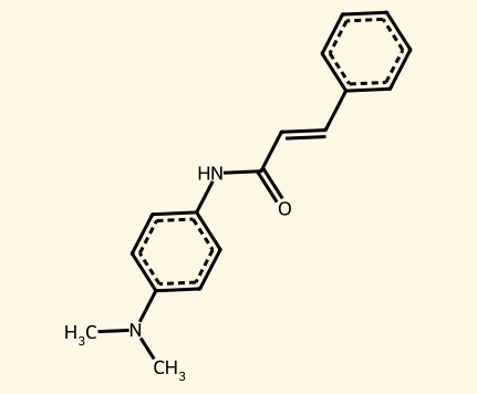 CN(C)c1ccc(NC(=O)C=Cc2ccccc2)cc1